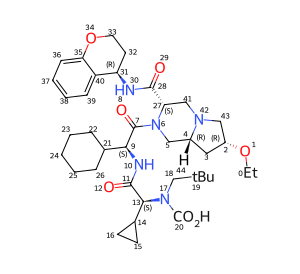 CCO[C@@H]1C[C@@H]2CN(C(=O)[C@@H](NC(=O)[C@H](C3CC3)N(CC(C)(C)C)C(=O)O)C3CCCCC3)[C@H](C(=O)N[C@@H]3CCOc4ccccc43)CN2C1